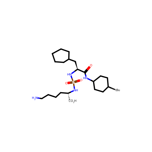 CC(C)(C)C1CCC(NC(=O)[C@H](CC2CCCCC2)NS(=O)(=O)N[C@@H](CCCCN)C(=O)O)CC1